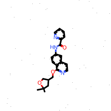 CC1(C)CC(COc2nccc3cc(NC(=O)c4ccccn4)ccc23)CO1